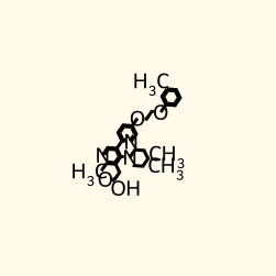 Cc1cccc(OCCOc2ccc(-c3cnc(C)c(CC(=O)O)c3N3CCC(C)(C)CC3)nc2)c1